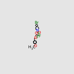 COc1ccc(COCC(OC(=O)N2CCC3(CC2)CC(Br)C3)C(F)(F)F)cc1